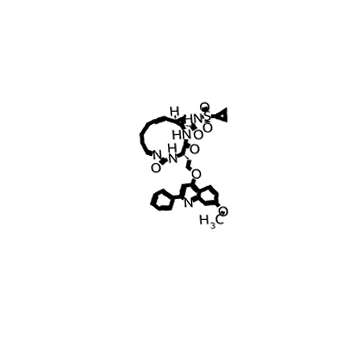 COc1ccc2c(OCC[C@@H]3NC(=O)/N=C/CCC/C=C\[C@H]4C[C@@]4(C(=O)NS(=O)(=O)C4CC4)NC3=O)cc(-c3ccccc3)nc2c1